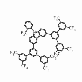 FC(F)(F)c1cc(-c2cc(-c3cc(C(F)(F)F)cc(C(F)(F)F)c3)cc(-c3ccc4c(c3)c3cc(-c5cc(-c6cc(C(F)(F)F)cc(C(F)(F)F)c6)cc(-c6cc(C(F)(F)F)cc(C(F)(F)F)c6)c5)ccc3n4-c3ccccc3C(F)(F)F)c2)cc(C(F)(F)F)c1